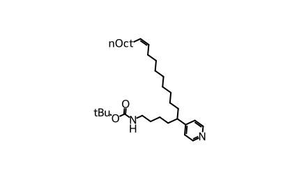 CCCCCCCC/C=C\CCCCCCCCC(CCCCNC(=O)OC(C)(C)C)c1ccncc1